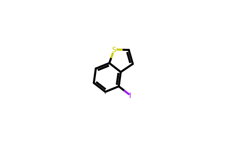 Ic1[c]ccc2sccc12